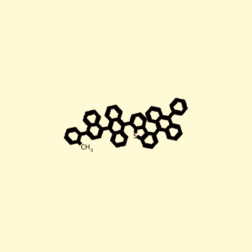 CC1C=CC=CC1c1ccc(-c2c3ccccc3c(C3=CC=CC4c5c(cccc5-c5c6ccccc6c(-c6ccccc6)c6ccccc56)SC34)c3ccccc23)c2ccccc12